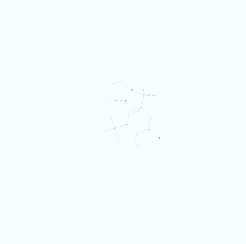 CCC1(C(=O)O)SC1(CC)c1cc(C(C)(C)C)c(O)c(C(C)(C)C)c1